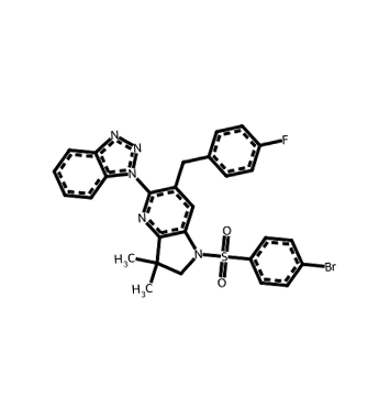 CC1(C)CN(S(=O)(=O)c2ccc(Br)cc2)c2cc(Cc3ccc(F)cc3)c(-n3nnc4ccccc43)nc21